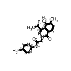 Cc1ccc2c(=O)n(CC(=O)Nc3ncc(P)cn3)nc(C(C)F)c2c1C